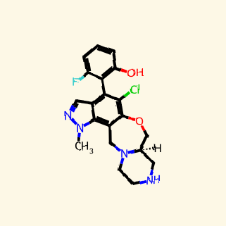 Cn1ncc2c(-c3c(O)cccc3F)c(Cl)c3c(c21)CN1CCNC[C@@H]1CO3